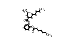 CCCCCCC(=O)Oc1ccccc1OC(=O)C(CCC)CCCCCC